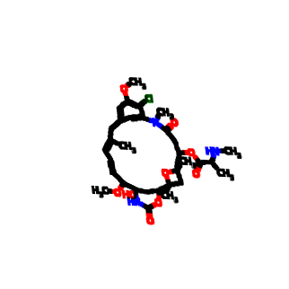 CNC(C)C(=O)OC1CC(=O)N(C)c2cc(cc(OC)c2Cl)C/C(C)=C/C=C/C(OC)C2(O)CC(OC(=O)N2)C2(C)CC1(C)O2